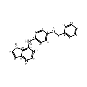 c1ccc(COc2ccc(Nc3ncnc4ccsc34)cc2)cc1